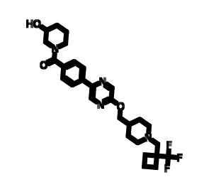 O=C(c1ccc(-c2cnc(OCC3CCN(CC4(C(F)(F)F)CCC4)CC3)cn2)cc1)N1CCCC(O)C1